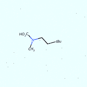 CN(CCC(C)(C)C)C(=O)O